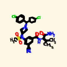 CC(C)[C@H](NC(=O)c1cc(C#N)cc(N(C2CN(C(c3ccc(Cl)cc3)c3ccc(Cl)cc3)C2)S(C)(=O)=O)c1)C(N)=O